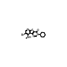 CNc1c(Br)cnc2sc3c(=O)n(C4CCCCC4)cnc3c12